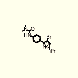 CC(C)n1cc(Br)c(-c2ccc(NC(=O)N(C)C)cc2)n1